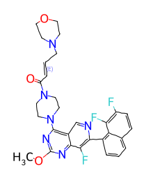 COc1nc(N2CCN(C(=O)/C=C/CN3CCOCC3)CC2)c2cnc(-c3cccc4ccc(F)c(F)c34)c(F)c2n1